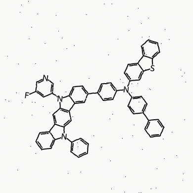 Fc1cncc(-n2c3ccc(-c4ccc(N(c5ccc(-c6ccccc6)cc5)c5ccc6c(c5)sc5ccccc56)cc4)cc3c3cc4c(cc32)c2ccccc2n4-c2ccccc2)c1